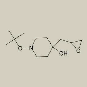 CC(C)(C)ON1CCC(O)(CC2CO2)CC1